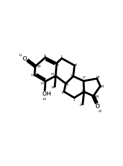 CC12CCC3C(CCC4=CC(=O)C=C(O)C43C)C1CCC2=O